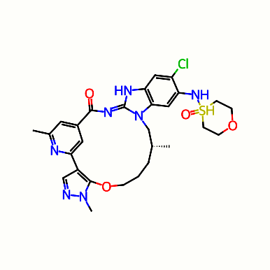 Cc1cc2cc(n1)-c1cnn(C)c1OCCC[C@@H](C)CN1/C(=N/C2=O)Nc2cc(Cl)c(N[SH]3(=O)CCOCC3)cc21